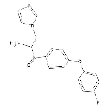 CC(Cn1ccnc1)C(=O)c1ccc(Oc2ccc(F)cc2)cc1